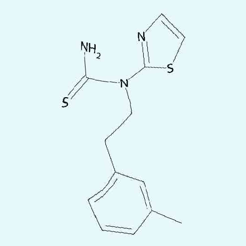 Cc1cccc(CCN(C(N)=S)c2nccs2)c1